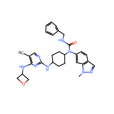 Cn1ncc2ccc(N(C(=O)NCc3ccccc3)C3CCC(Nc4ncc(C#N)c(NC5COC5)n4)CC3)cc21